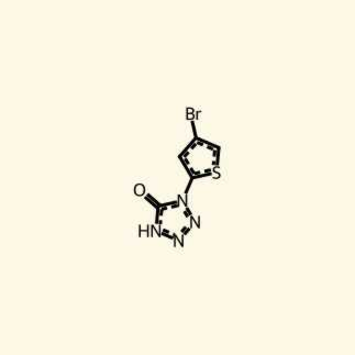 O=c1[nH]nnn1-c1cc(Br)cs1